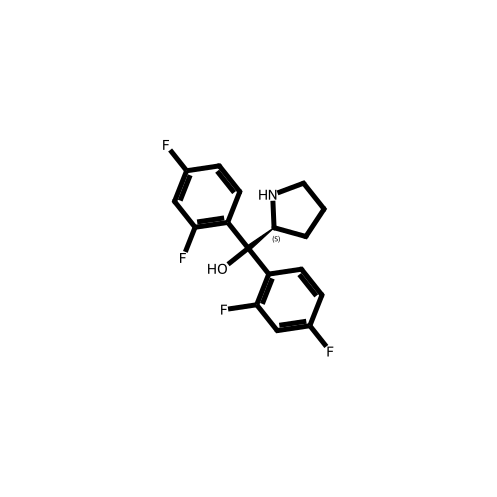 OC(c1ccc(F)cc1F)(c1ccc(F)cc1F)[C@@H]1CCCN1